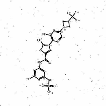 Cc1sc(C(=O)Nc2cc(F)cc(NS(C)(=O)=O)c2)cc1-c1ncc(N2CC(C(F)(F)F)C2)cc1F